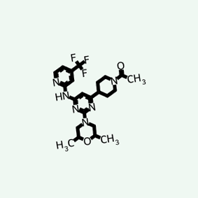 CC(=O)N1CCC(c2cc(Nc3cc(C(F)(F)F)ccn3)nc(N3CC(C)OC(C)C3)n2)CC1